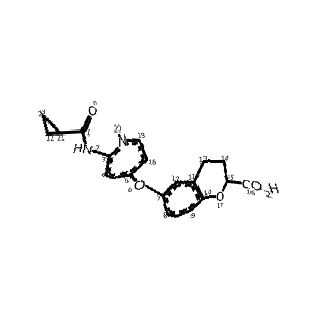 O=C(Nc1cc(Oc2ccc3c(c2)CCC(C(=O)O)O3)ccn1)C1CC1